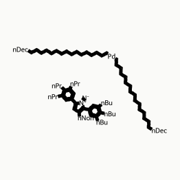 CCCCCCCCCC1=C(c2cc(CCCC)c(CCCC)c(CCCC)c2)[N+](=[N-])C(c2cc(CCC)c(CCC)c(CCC)c2)=C1.CCCCCCCCCCCCCCCCCCCCCCCCC[CH2][Pd][CH2]CCCCCCCCCCCCCCCCCCCCCCCCC